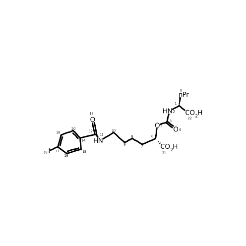 CCC[C@H](NC(=O)O[C@@H](CCCCNC(=O)c1ccc(I)cc1)C(=O)O)C(=O)O